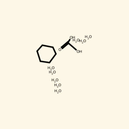 C1CCCCC1.O.O.O.O.O.O.O.O.O=C(O)O